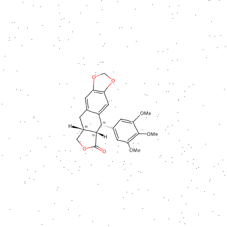 COc1cc([C@H]2c3cc4c(cc3C[C@H]3COC(=O)[C@H]32)OCO4)cc(OC)c1OC